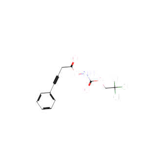 O=C(CC#Cc1ccccc1)ONC(=O)OCC(Cl)(Cl)Cl